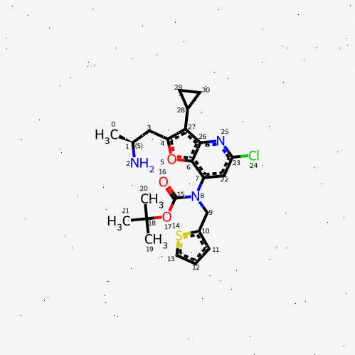 C[C@H](N)Cc1oc2c(N(Cc3cccs3)C(=O)OC(C)(C)C)cc(Cl)nc2c1C1CC1